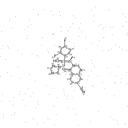 C[C@@H](n1cnc2cc(C#N)ccc2c1=O)[C@](O)(Cn1cncn1)c1ccc(F)cc1F